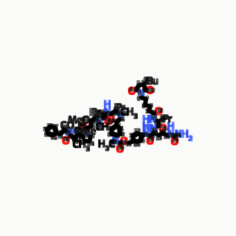 CCC(C)C1CC(=O)N(CCCCCC(=O)N[C@H](C(=O)N[C@@H](CCCNC(N)=O)C(=O)Nc2ccc(COC(=O)N(C)c3ccc(CCN(C)[C@H](C(=O)N[C@H](C(=O)N(C)[C@@H]([C@@H](C)CC)[C@@H](CC(=O)N4CCC[C@H]4[C@H](OC)[C@@H](C)C(=O)N[C@@H](Cc4ccccc4)C(=O)O)OC)C(C)C)C(C)C)cc3)cc2)C(C)C)C1=O